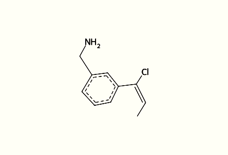 C/C=C(/Cl)c1cccc(CN)c1